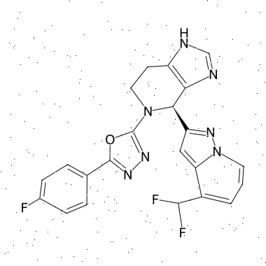 Fc1ccc(-c2nnc(N3CCc4[nH]cnc4[C@H]3c3cc4c(C(F)F)cccn4n3)o2)cc1